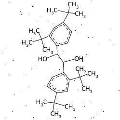 CC(C)(C)c1ccc(C(O)C(O)c2ccc(C(C)(C)C)cc2C(C)(C)C)c(C(C)(C)C)c1